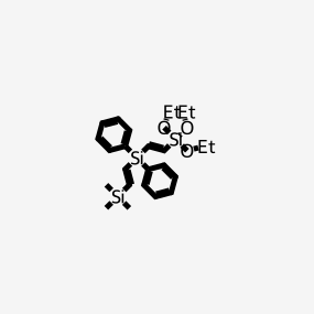 CCO[Si](C=C[Si](C=C[Si](C)(C)C)(c1ccccc1)c1ccccc1)(OCC)OCC